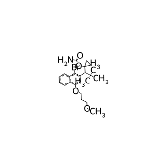 COCCCOc1cc(C(C(C)(C)C)C2(OC(N)=O)CC2)c(Br)c2ccccc12